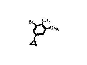 COc1cc(C2CC2)cc(Br)c1C